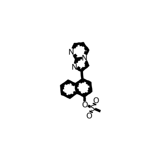 CS(=O)(=O)Oc1ccc(-c2cn3cccnc3n2)c2ccccc12